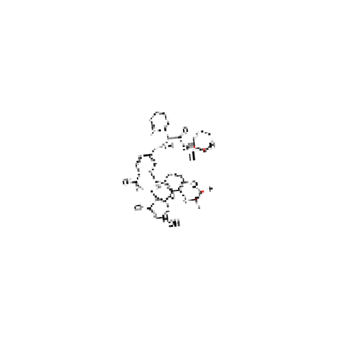 CC(C)Oc1cc([C@H](Cc2c(Cl)c[n+](O)cc2Cl)c2cc(CNC(C(=O)O[C@H]3CN4CCC3CC4)c3ccccc3F)ccc2C(=O)[O-])ccc1OC(F)F